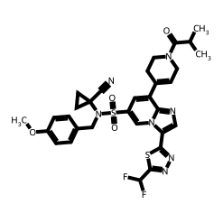 COc1ccc(CN(C2(C#N)CC2)S(=O)(=O)c2cc(C3=CCN(C(=O)C(C)C)CC3)c3ncc(-c4nnc(C(F)F)s4)n3c2)cc1